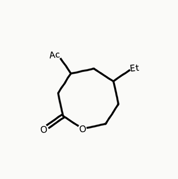 CCC1CCOC(=O)CC(C(C)=O)C1